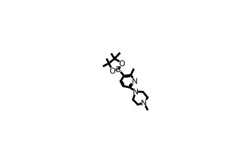 Cc1nc(N2CCN(C)CC2)ccc1B1OC(C)(C)C(C)(C)O1